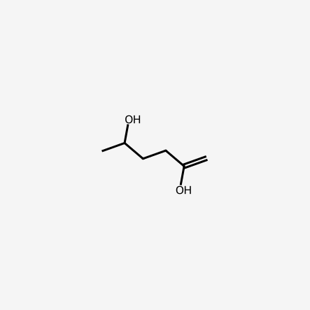 C=C(O)CCC(C)O